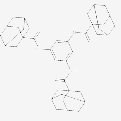 O=C(Nc1cc(NC(=O)C23CC4CC(CC(C4)C2)C3)cc(NC(=O)C23CC4CC(CC(C4)C2)C3)c1)C12CC3CC(CC(C3)C1)C2